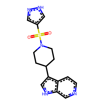 O=S(=O)(c1cn[nH]c1)N1CCC(c2c[nH]c3cnccc23)CC1